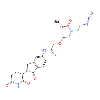 CC(C)(C)OC(=O)N(CCN=[N+]=[N-])CCOCC(=O)Nc1ccc2c(c1)CN(C1CCC(=O)NC1=O)C2=O